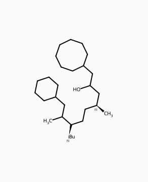 CC[C@H](C)C(CC[C@H](C)CC(O)CC1CCCCCCC1)C(C)CC1CCCCC1